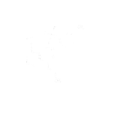 CCOC(=O)c1cccc(C2CC2)c1COc1ccc(C)cc1C(F)(F)F